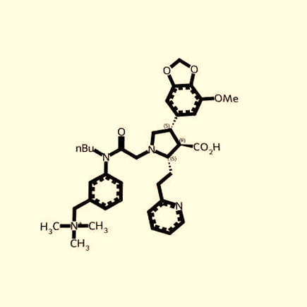 CCCCN(C(=O)CN1C[C@H](c2cc(OC)c3c(c2)OCO3)[C@@H](C(=O)O)[C@@H]1CCc1ccccn1)c1cccc(C[N+](C)(C)C)c1